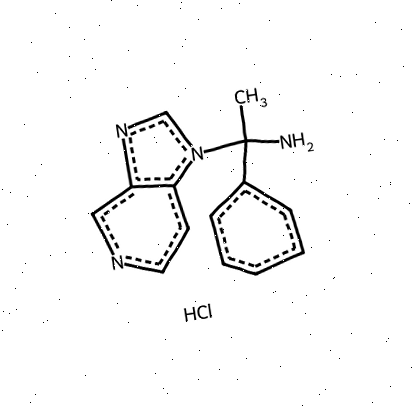 CC(N)(c1ccccc1)n1cnc2cnccc21.Cl